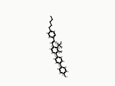 CCCCCc1ccc(/C=C/c2ccc(-c3ccc(-c4ccc(C)cc4)cc3)c(F)c2C(F)(F)F)cc1